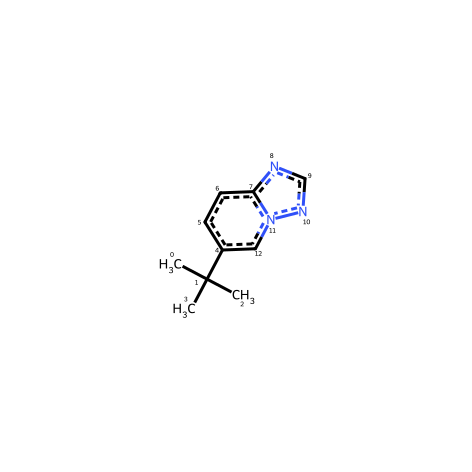 CC(C)(C)c1ccc2ncnn2c1